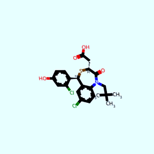 CC(C)(C)CN1C(=O)[C@@H](CC(=O)O)S[C@H](c2ccc(O)cc2Cl)c2cc(Cl)ccc21